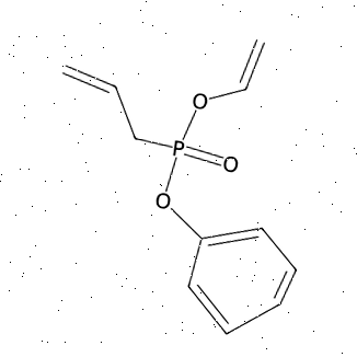 C=CCP(=O)(OC=C)Oc1ccccc1